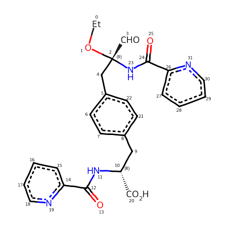 CCO[C@@](C=O)(Cc1ccc(C[C@@H](NC(=O)c2ccccn2)C(=O)O)cc1)NC(=O)c1ccccn1